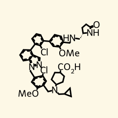 COc1cc(-c2cccc(-c3cccc4c3cnn4Cc3cc(OC)c(CN(CC4CC4)C4CCC(C(=O)O)CC4)cc3Cl)c2Cl)ccc1CNC[C@@H]1CCC(=O)N1